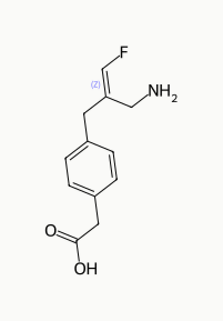 NC/C(=C\F)Cc1ccc(CC(=O)O)cc1